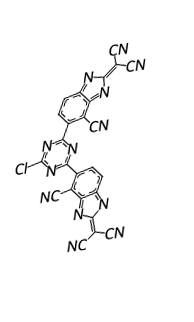 N#CC(C#N)=C1N=c2ccc(-c3nc(Cl)nc(-c4ccc5c(c4C#N)=NC(=C(C#N)C#N)N=5)n3)c(C#N)c2=N1